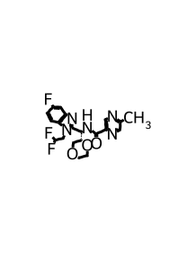 Cc1cnc(C(=O)NC(c2nc3cc(F)ccc3n2CC(F)F)[C@H]2COCCO2)cn1